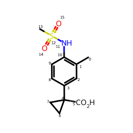 Cc1cc(C2(C(=O)O)CC2)ccc1NS(C)(=O)=O